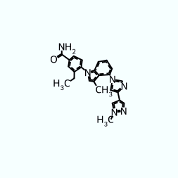 CCc1cc(C(N)=O)ccc1-n1cc(C)c2c(-n3cnc(-c4cnn(C)c4)c3)cccc21